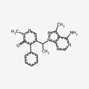 Cc1nn(C(C)c2cnn(C)c(=O)c2-c2ccccc2)c2ncnc(N)c12